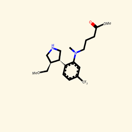 COC[C@H]1CNC[C@@H]1c1ccc(C(F)(F)F)cc1N(C)CCCC(=O)OC